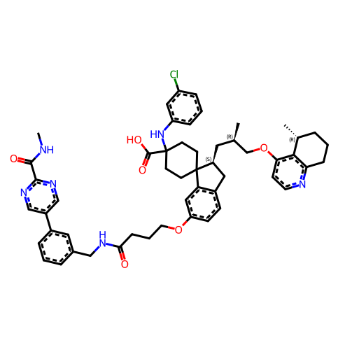 CNC(=O)c1ncc(-c2cccc(CNC(=O)CCCOc3ccc4c(c3)C3(CCC(Nc5cccc(Cl)c5)(C(=O)O)CC3)[C@@H](C[C@@H](C)COc3ccnc5c3[C@H](C)CCC5)C4)c2)cn1